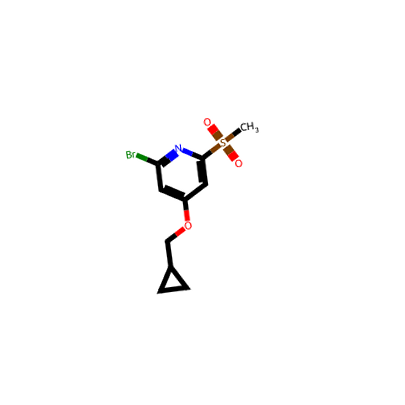 CS(=O)(=O)c1cc(OCC2CC2)cc(Br)n1